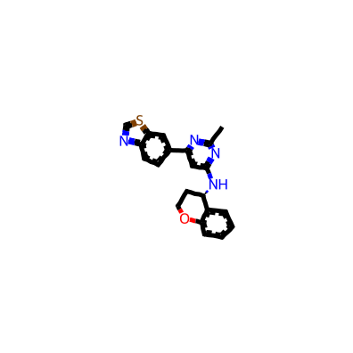 Cc1nc(N[C@H]2CCOc3ccccc32)cc(-c2ccc3ncsc3c2)n1